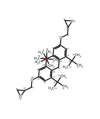 CC(C)(C)c1cc(OCC2CO2)cc(C(C)(C)C)c1Cc1c(C(C)(C)C)cc(OCC2CO2)cc1C(C)(C)C